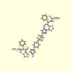 COC(=O)N[C@@H](C(=O)N1CCC[C@H]1c1nc(C23CCC(c4ccc(-c5c[nH]c([C@@H]6CCCN6C(=O)[C@H](NC(=O)O)c6ccccc6)n5)cc4)(CC2)CC3)c[nH]1)c1ccccc1